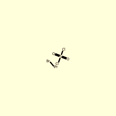 CC(C)Br.O=S(=O)(Cl)Cl